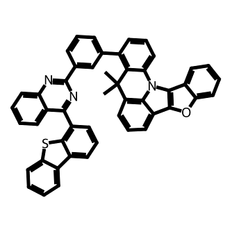 CC1(C)c2c(-c3cccc(-c4nc(-c5cccc6c5sc5ccccc56)c5ccccc5n4)c3)cccc2-n2c3c1cccc3c1oc3ccccc3c12